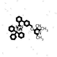 Cc1cc(OCc2ccc(-c3ccccc3-c3nnn(C(c4ccccc4)(c4ccccc4)c4ccccc4)n3)cc2)c(C#N)c(C)n1